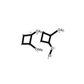 CCOC1CCC1OC(C)=O.COC1CCC1OC(C)=O